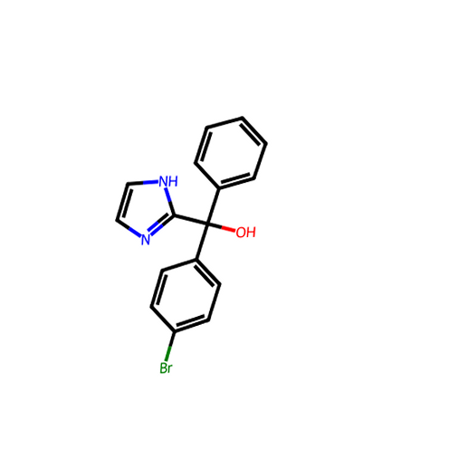 OC(c1ccccc1)(c1ccc(Br)cc1)c1ncc[nH]1